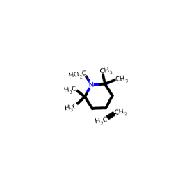 C=C.CC1(C)CCCC(C)(C)N1C(=O)O